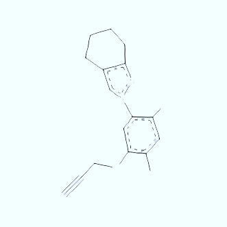 C#CCOc1cc(-n2cc3c(n2)CCCC3)c(F)cc1Cl